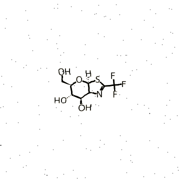 OC[C@H]1O[C@H]2SC(C(F)(F)F)=NC2[C@@H](O)[C@@H]1O